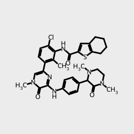 Cc1c(-c2cn(C)c(=O)c(Nc3ccc(C4C(=O)N(C)CCN4C)cc3)n2)ccc(Cl)c1NC(=O)c1cc2c(s1)CCCC2